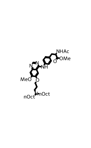 CCCCCCCCN(CCCCCCCC)CCCOc1cc2c(Nc3ccc(CC(NC(C)=O)C(=O)OC)cc3)ncnc2cc1OC